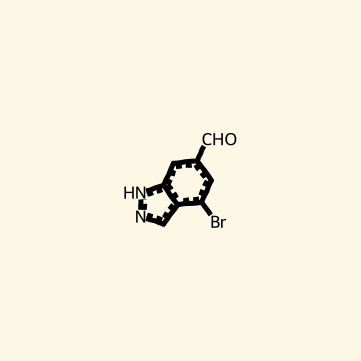 O=Cc1cc(Br)c2cn[nH]c2c1